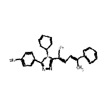 C/C(=C\C=C(\c1nnc(-c2ccc(C(C)(C)C)cc2)n1C1C=CC=CC1)C(C)C)c1ccccc1